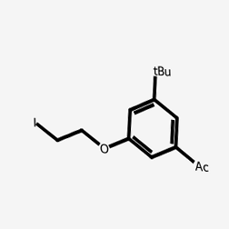 CC(=O)c1cc(OCCI)cc(C(C)(C)C)c1